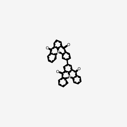 O=c1c2ccccc2n2c3ccccc3c(=O)c3cc(-c4ccc5c(=O)c6cccc7c(=O)c8ccccc8n(c5c4)c76)cc1c32